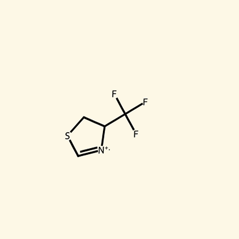 FC(F)(F)C1CSC=[N+]1